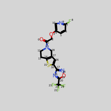 O=C(COc1ccc(F)nc1)N1CCc2sc(-c3noc(C(F)(F)F)n3)cc2C1